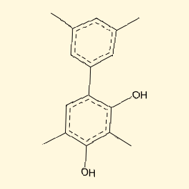 Cc1cc(C)cc(-c2cc(C)c(O)c(C)c2O)c1